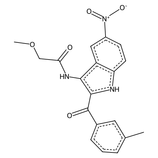 COCC(=O)Nc1c(C(=O)c2cccc(C)c2)[nH]c2ccc([N+](=O)[O-])cc12